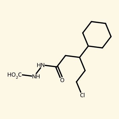 O=C(O)NNC(=O)CC(CCCl)C1CCCCC1